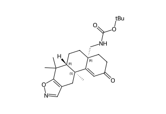 CC(C)(C)OC(=O)NC[C@]12CCC(=O)C=C1[C@@]1(C)Cc3cnoc3C(C)(C)[C@@H]1CC2